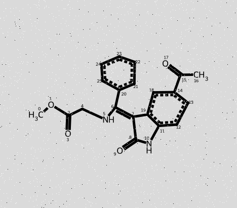 COC(=O)CN/C(=C1\C(=O)Nc2ccc(C(C)=O)cc21)c1ccccc1